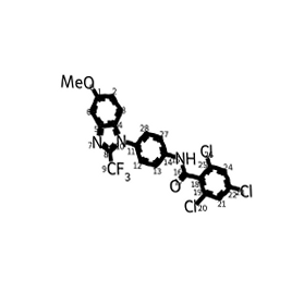 COc1ccc2c(c1)nc(C(F)(F)F)n2-c1ccc(NC(=O)c2c(Cl)cc(Cl)cc2Cl)cc1